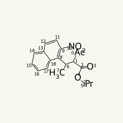 CC(=O)C(C(=O)OC(C)C)C(C)c1c([N+](=O)[O-])ccc2ccccc12